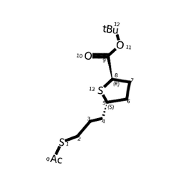 CC(=O)SCCC[C@H]1CC[C@H](C(=O)OC(C)(C)C)S1